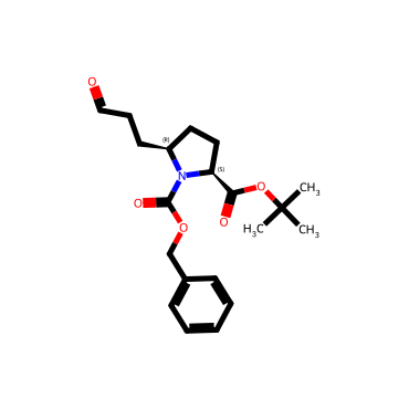 CC(C)(C)OC(=O)[C@@H]1CC[C@H](CCC=O)N1C(=O)OCc1ccccc1